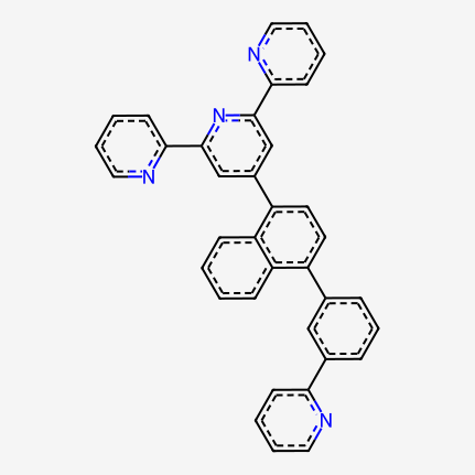 c1ccc(-c2cccc(-c3ccc(-c4cc(-c5ccccn5)nc(-c5ccccn5)c4)c4ccccc34)c2)nc1